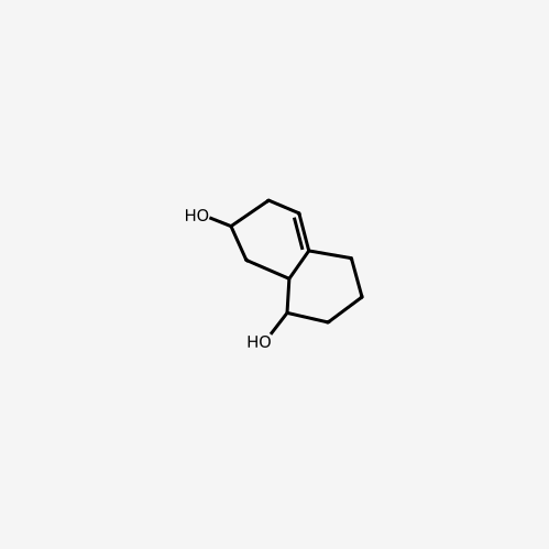 OC1CC=C2CCCC(O)C2C1